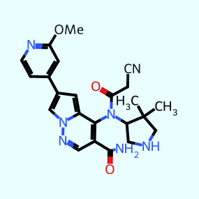 COc1cc(-c2cc3c(N(C(=O)CC#N)C4CNCC4(C)C)c(C(N)=O)cnn3c2)ccn1